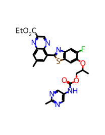 CCOC(=O)c1cnc2c(-c3nc4cc(F)c(OC(C)COC(=O)Nc5cnc(C)nc5)cc4s3)cc(C)cc2n1